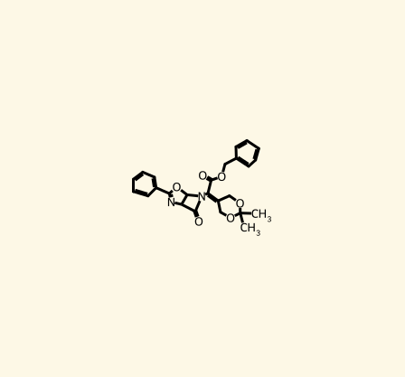 CC1(C)OCC(=C(C(=O)OCc2ccccc2)N2C(=O)C3N=C(c4ccccc4)OC32)CO1